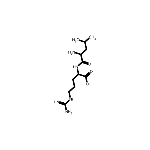 CC(C)CC(N)C(=O)NC(CCCNC(=N)N)C(=O)O